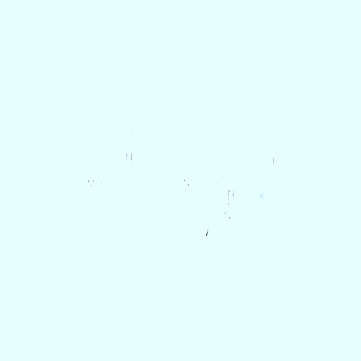 COc1ccc(-c2nc(C(=O)N[C@H](CO)C(C)C)c([C@H](C)N)o2)c2ccc(C(F)(F)F)nc12